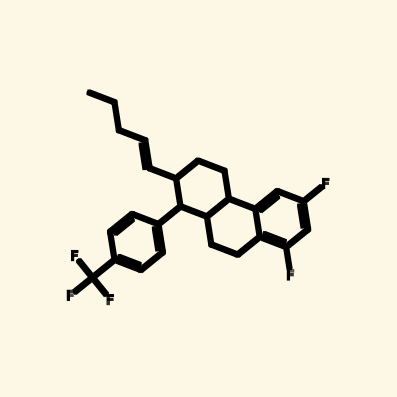 CCCC=CC1CCC2c3cc(F)cc(F)c3CCC2C1c1ccc(C(F)(F)F)cc1